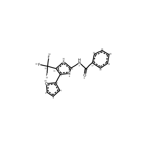 O=C(Nc1nc(-c2ccco2)c(C(F)(F)F)s1)c1ccccc1